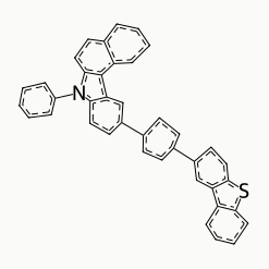 c1ccc(-n2c3ccc(-c4ccc(-c5ccc6sc7ccccc7c6c5)cc4)cc3c3c4ccccc4ccc32)cc1